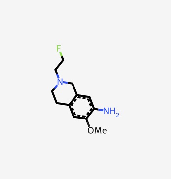 COc1cc2c(cc1N)CN(CCF)CC2